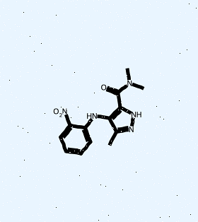 Cc1n[nH]c(C(=O)N(C)C)c1Nc1ccccc1[N+](=O)[O-]